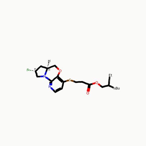 CCCCC(CC)COC(=O)CCSc1ccnc2c1OC[C@@H]1C[C@@H](F)CN21